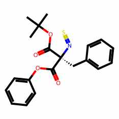 CC(C)(C)OC(=O)[C@@](Cc1ccccc1)(N=S)C(=O)Oc1ccccc1